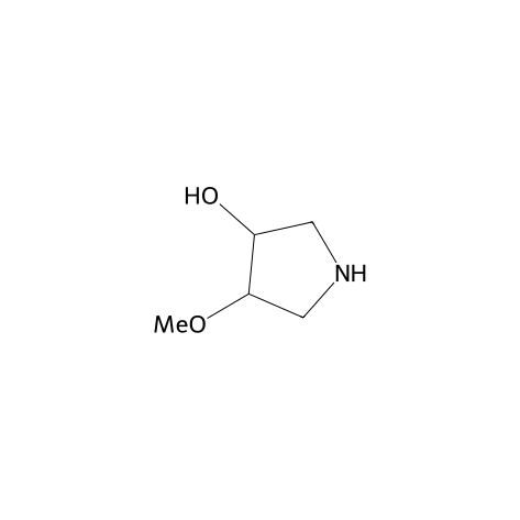 COC1CNCC1O